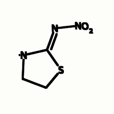 O=[N+]([O-])N=C1[N]CCS1